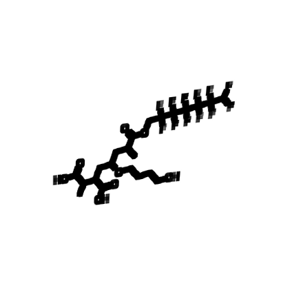 CC(CC(CC(C(=O)O)C(C)C(=O)O)OCCCCO)C(=O)OCC(F)(F)C(F)(F)C(F)(F)C(F)(F)C(F)(F)C(F)F